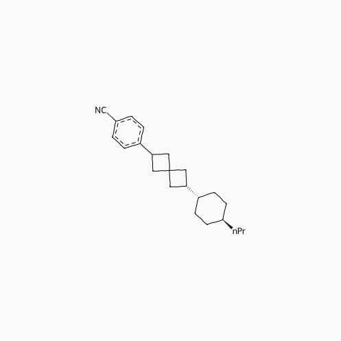 CCC[C@H]1CC[C@H](C2CC3(CC(c4ccc(C#N)cc4)C3)C2)CC1